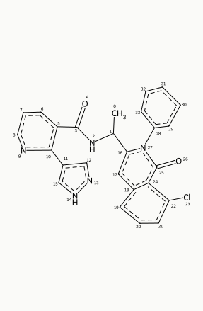 CC(NC(=O)c1cccnc1-c1cn[nH]c1)c1cc2cccc(Cl)c2c(=O)n1-c1ccccc1